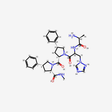 CNC(=O)[C@@H]1C[C@H](c2ccccc2)CN1C(=O)[C@@H]1C[C@H](c2ccccc2)CN1C(=O)C(Cn1cncn1)NC(=O)[C@H](C)N